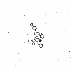 NC(=O)C(=O)C(Cc1ccccc1)NC(=O)c1cccnc1-n1cnc(-c2ccc(Cl)cc2)c1